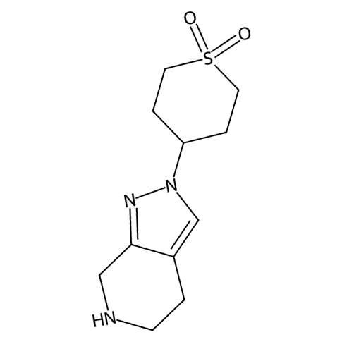 O=S1(=O)CCC(n2cc3c(n2)CNCC3)CC1